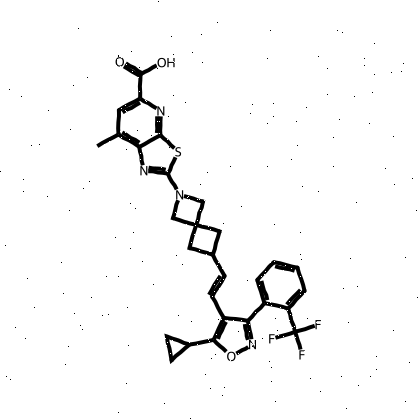 Cc1cc(C(=O)O)nc2sc(N3CC4(CC(C=Cc5c(-c6ccccc6C(F)(F)F)noc5C5CC5)C4)C3)nc12